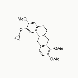 COc1cc2c(cc1OC1CC1)C1Cc3ccc(OC)c(OC)c3CN1CC2